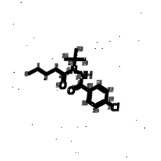 CCCCC(=O)N(NC(=O)c1ccc(Cl)cc1)C(C)(C)C